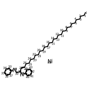 CCCCCCCCCCCCCCCCCCCCCCCCCCC/C=C/C(/C=N/c1ccccc1)=N\c1ccccc1.[Ni]